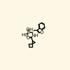 O=C(N[C@@H](Cc1coc2ccccc12)B(O)O)C1CC12CCC2